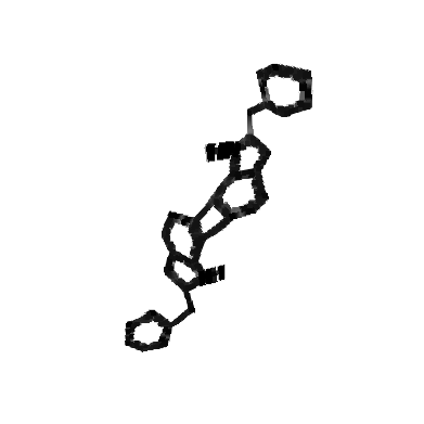 c1ccc(Cc2cc3ccc4c(c3[nH]2)-c2ccc3cc(Cc5ccccc5)[nH]c3c2-4)cc1